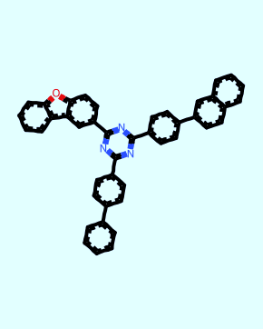 c1ccc(-c2ccc(-c3nc(-c4ccc(-c5ccc6ccccc6c5)cc4)nc(-c4ccc5oc6ccccc6c5c4)n3)cc2)cc1